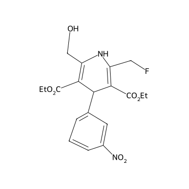 CCOC(=O)C1=C(CO)NC(CF)=C(C(=O)OCC)C1c1cccc([N+](=O)[O-])c1